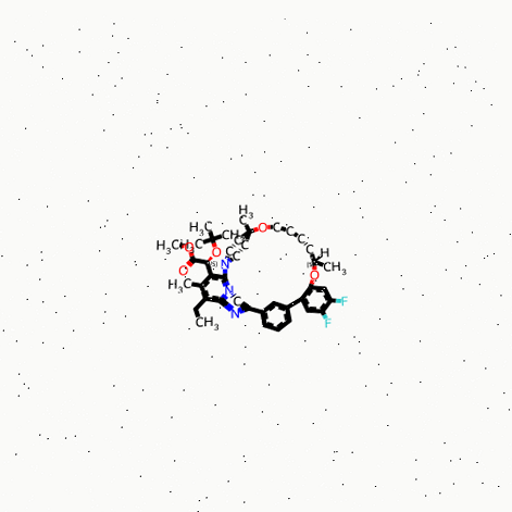 CCc1c(C)c([C@H](OC(C)(C)C)C(=O)OC)c2n3cc(nc13)-c1cccc(c1)-c1cc(F)c(F)cc1O[C@@H](C)CCCCOC1(C)CCN2CC1